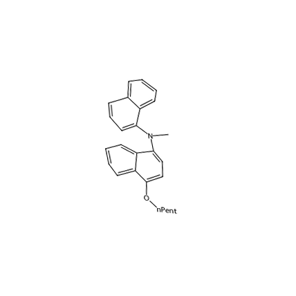 CCCCCOc1ccc(N(C)c2cccc3ccccc23)c2ccccc12